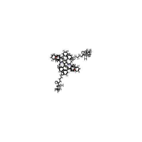 N#C/C(c1cnc2ccccc2n1)=c1\c2c(-c3cccc(OCCCCC(=O)NS(=O)(=O)C(F)(F)F)c3)n(B(c3ccccc3)c3ccccc3)/c(=C(/C#N)c3cnc4ccccc4n3)c2c(-c2cccc(OCCCCC(=O)NSC(F)(F)F)c2)n1B(c1ccccc1)c1ccccc1